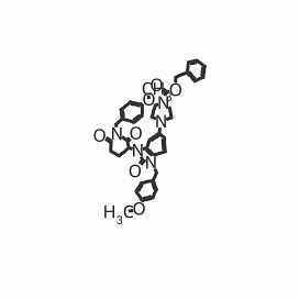 COc1ccc(CN2C(=O)CCC(n3c(=O)n(Cc4ccc(OC)cc4)c4ccc(N5CCN(C(=O)OCc6ccccc6)CC5)cc43)C2=O)cc1